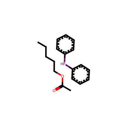 CCCCCOC(C)=O.c1ccc(Pc2ccccc2)cc1